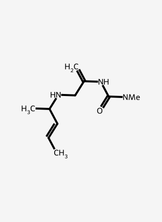 C=C(CNC(C)C=CC)NC(=O)NC